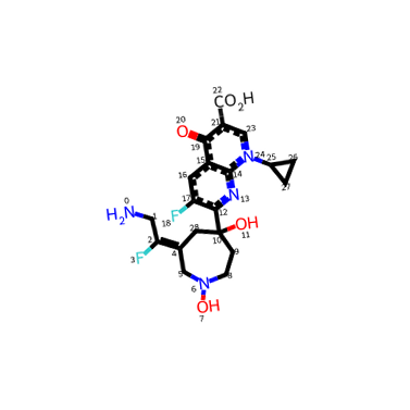 NC/C(F)=C1/CN(O)CCC(O)(c2nc3c(cc2F)c(=O)c(C(=O)O)cn3C2CC2)C1